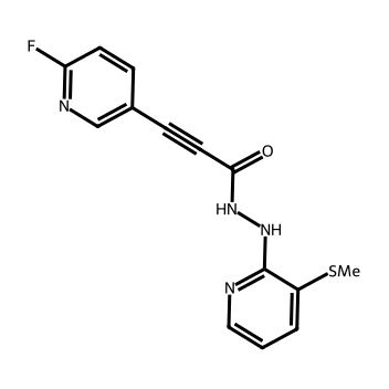 CSc1cccnc1NNC(=O)C#Cc1ccc(F)nc1